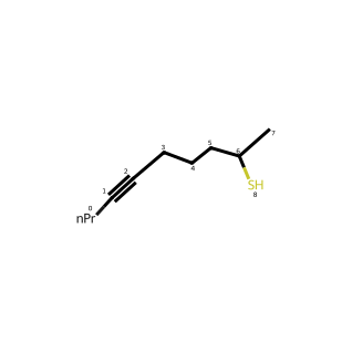 CCCC#CCCCC(C)S